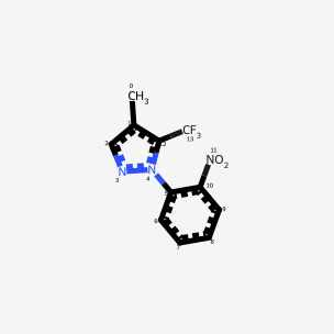 Cc1[c]nn(-c2ccccc2[N+](=O)[O-])c1C(F)(F)F